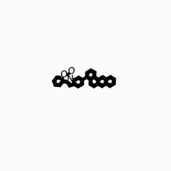 O=c1oc2ccccc2c2cc3ccc(-c4cccc5c4ccc4cc6ccccc6cc45)cc3n12